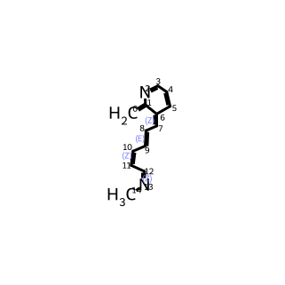 C=c1nccc/c1=C/C=C/C=C\C=N/C